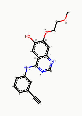 C#Cc1cccc(Nc2ncnc3cc(OCCOC)c(O)cc23)c1